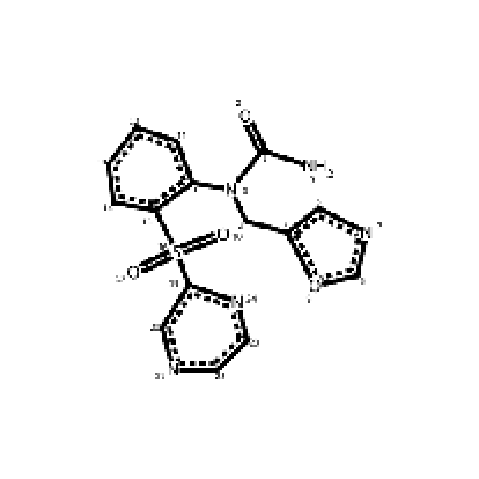 NC(=O)N(Cc1cnco1)c1ccccc1S(=O)(=O)c1cnccn1